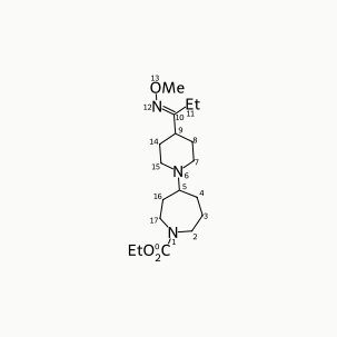 CCOC(=O)N1CCCC(N2CCC(C(CC)=NOC)CC2)CC1